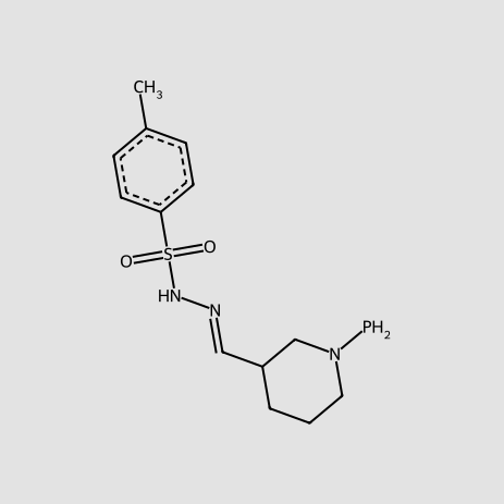 Cc1ccc(S(=O)(=O)NN=CC2CCCN(P)C2)cc1